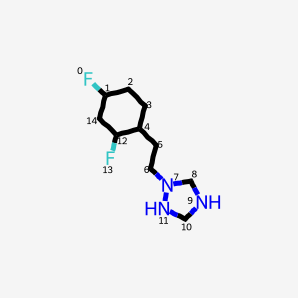 FC1CCC(CCN2CNCN2)C(F)C1